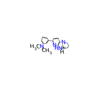 CN(C)c1cccc(-c2ccc3c(n2)N[C@@H]2CCCN3C2)c1